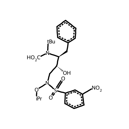 CC(C)ON(C[C@@H](O)[C@H](Cc1ccccc1)N(C(=O)O)C(C)(C)C)S(=O)(=O)c1cccc([N+](=O)[O-])c1